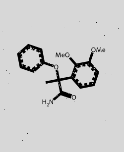 COc1cccc(C(C)(Oc2ccccc2)C(N)=O)c1OC